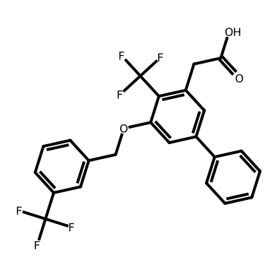 O=C(O)Cc1cc(-c2ccccc2)cc(OCc2cccc(C(F)(F)F)c2)c1C(F)(F)F